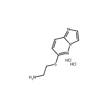 Cl.Cl.NCCSc1ccc2nccn2n1